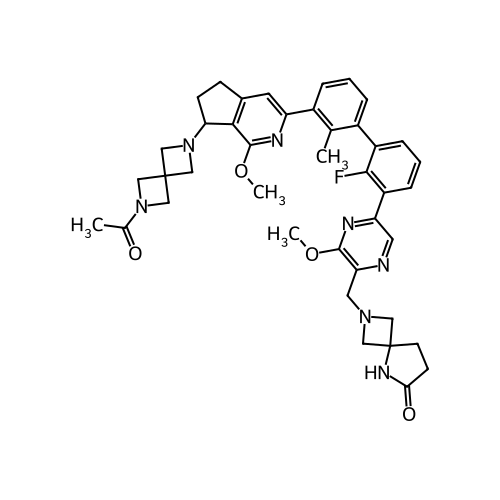 COc1nc(-c2cccc(-c3cccc(-c4cc5c(c(OC)n4)C(N4CC6(CN(C(C)=O)C6)C4)CC5)c3C)c2F)cnc1CN1CC2(CCC(=O)N2)C1